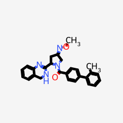 CON=C1CC(C2=Nc3ccccc3CN2)N(C(=O)c2ccc(-c3ccccc3C)cc2)C1